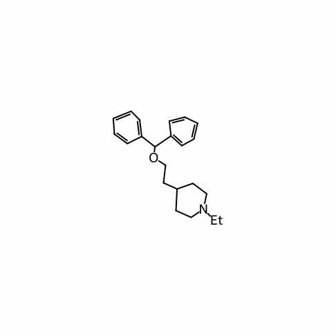 CCN1CCC(CCOC(c2ccccc2)c2ccccc2)CC1